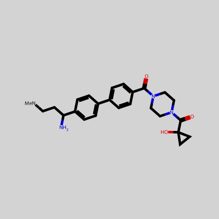 CNCCC(N)c1ccc(-c2ccc(C(=O)N3CCN(C(=O)C4(O)CC4)CC3)cc2)cc1